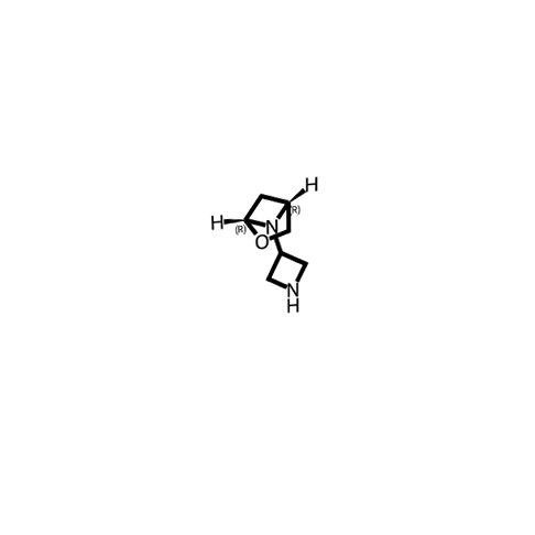 C1NCC1N1[C@H]2CO[C@@H]1C2